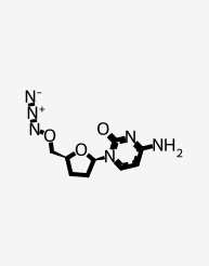 [N-]=[N+]=NOC[C@@H]1CC[C@H](n2ccc(N)nc2=O)O1